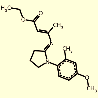 CCOC(=O)C=C(C)N=C1CCCN1c1ccc(OC)cc1C